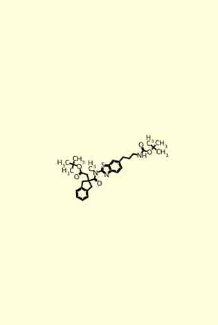 CN(C(=O)C1(CC(=O)OC(C)(C)C)Cc2ccccc2C1)c1nc2ccc(CCCNC(=O)OC(C)(C)C)cc2s1